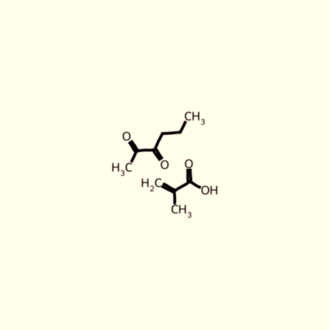 C=C(C)C(=O)O.CCCC(=O)C(C)=O